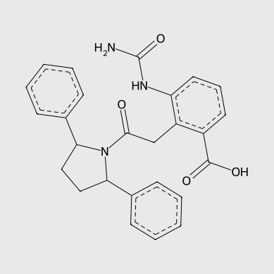 NC(=O)Nc1cccc(C(=O)O)c1CC(=O)N1C(c2ccccc2)CCC1c1ccccc1